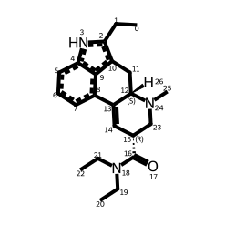 CCc1[nH]c2cccc3c2c1C[C@H]1C3=C[C@@H](C(=O)N(CC)CC)CN1C